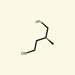 CCCC[C@@H](C)CCN=O